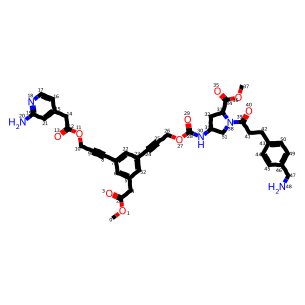 COC(=O)Cc1cc(C#CCOC(=O)Cc2ccnc(N)c2)cc(C#CCOC(=O)NC2CC(C(=O)OC)N(C(=O)CCc3ccc(CN)cc3)C2)c1